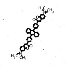 CCN(CC)c1ccc2cc(-c3ccc(-c4c5ccccc5c(-c5ccc(-c6cc7ccc(N(CC)CC)cc7oc6=O)cc5)c5ccccc45)cc3)c(=O)oc2c1